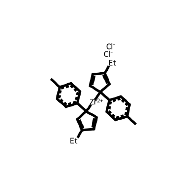 CCC1=C[C]([Zr+2][C]2(c3ccc(C)cc3)C=CC(CC)=C2)(c2ccc(C)cc2)C=C1.[Cl-].[Cl-]